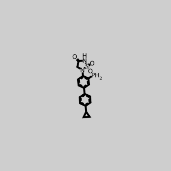 O=C1CN(c2ccc(-c3ccc(C4CC4)cc3)cc2P)S(=O)(=O)N1